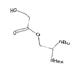 CCCCCCC(CCCC)COC(=O)CO